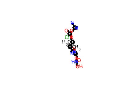 Cc1c(COc2cc(OCc3cncc(C#N)c3)c(C=O)cc2Cl)cccc1-c1cccc(-c2cnc3cc(COC(=O)NCCO)ccn3c2=O)c1C